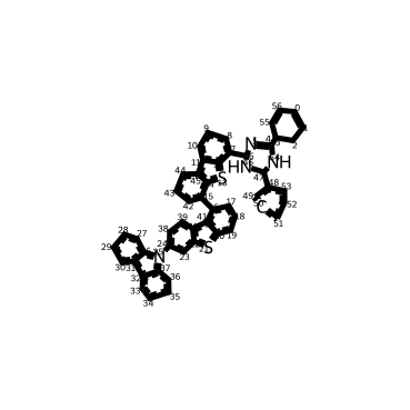 C1=CCC(C2=NC(c3cccc4c3sc3c(-c5cccc6sc7cc(-n8c9ccccc9c9ccccc98)ccc7c56)cccc34)NC(c3ccccc3)N2)C=C1